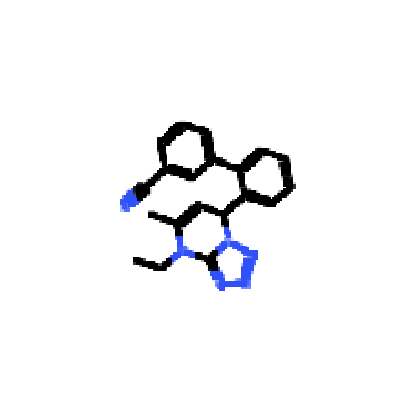 CCN1C(C)=CC(c2ccccc2-c2cccc(C#N)c2)n2nnnc21